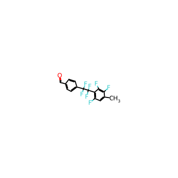 Cc1cc(F)c(C(F)(F)C(F)(F)c2ccc(C=O)cc2)c(F)c1F